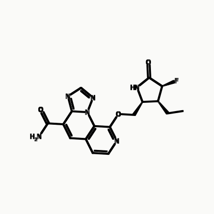 CC[C@@H]1[C@H](F)C(=O)N[C@@H]1COc1nccc2cc(C(N)=O)c3ncnn3c12